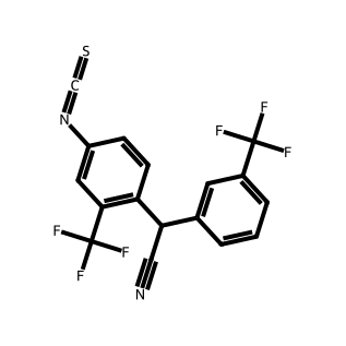 N#CC(c1cccc(C(F)(F)F)c1)c1ccc(N=C=S)cc1C(F)(F)F